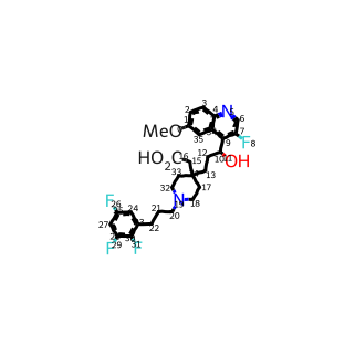 COc1ccc2ncc(F)c(C(O)CCC3(CC(=O)O)CCN(CCCc4cc(F)cc(F)c4F)CC3)c2c1